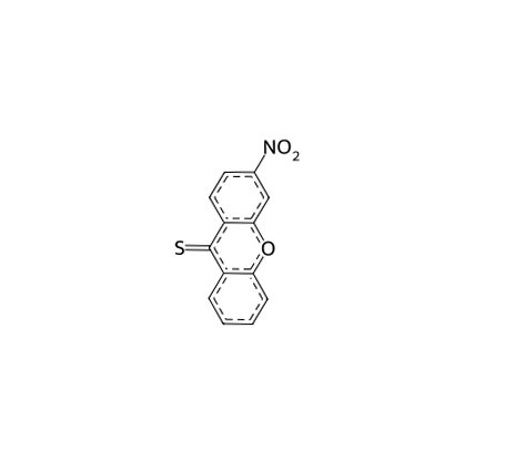 O=[N+]([O-])c1ccc2c(=S)c3ccccc3oc2c1